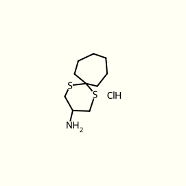 Cl.NC1CSC2(CCCCCC2)SC1